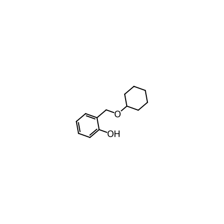 Oc1ccccc1COC1CCCCC1